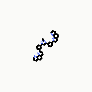 Cc1nc(-c2cccc(-c3ccc4ccc5cccnc5c4n3)c2)cc(-c2cccc(-c3ccc4ccc5cccnc5c4n3)c2)n1